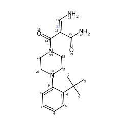 CC(C)(C)c1ccccc1N1CCN(C(=O)/C(=C/N)C(N)=O)CC1